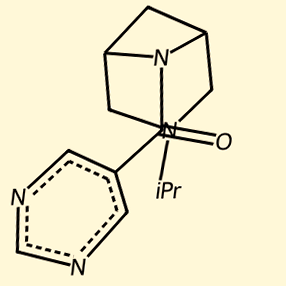 CC(C)N1CC2CC(C1)N2C(=O)c1cncnc1